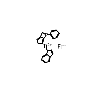 C1=C[CH]([Ti+2][C]2=C3C(=CC2)CP3c2ccccc2)c2ccccc21.[F-].[F-]